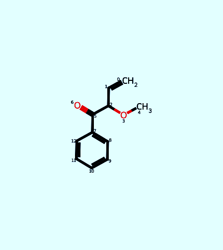 C=CC(OC)C(=O)c1ccccc1